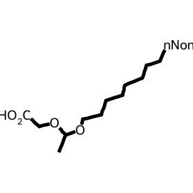 CCCCCCCCCCCCCCCCCOC(C)OCC(=O)O